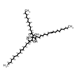 CCCCCCCCC=CCCCCCCCC(=O)C(O)(C(O)C(=O)CCCCCCCCCCC)C(O)C(=O)CCCCCCCCCCCCCCC